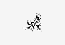 CC[N+](CC)(CC)C[Si](C)(OC(C)=O)OC(C)=O